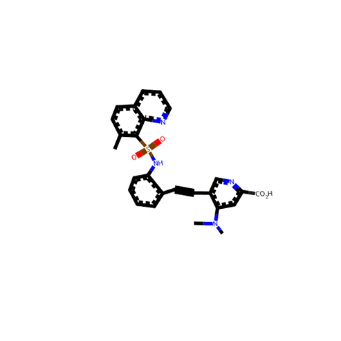 Cc1ccc2cccnc2c1S(=O)(=O)Nc1ccccc1C#Cc1cnc(C(=O)O)cc1N(C)C